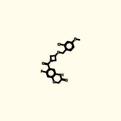 COc1ccc(COC2CN(C(=O)c3cc4c(cc3F)OCC(=O)N4)C2)c(Cl)c1